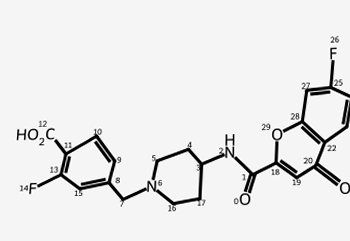 O=C(NC1CCN(Cc2ccc(C(=O)O)c(F)c2)CC1)c1cc(=O)c2ccc(F)cc2o1